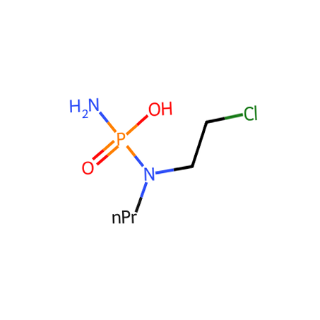 CCCN(CCCl)P(N)(=O)O